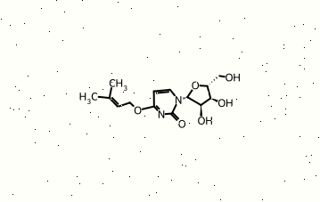 CC(C)=CCOc1ccn([C@@H]2O[C@H](CO)[C@@H](O)[C@H]2O)c(=O)n1